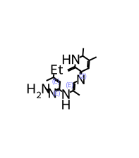 C=C1NC(C)C(C)=C/C1=N/C=C(\C)NC(/C=C(\C)CC)=N/N